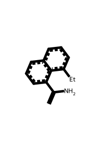 C=C(N)c1cccc2cccc(CC)c12